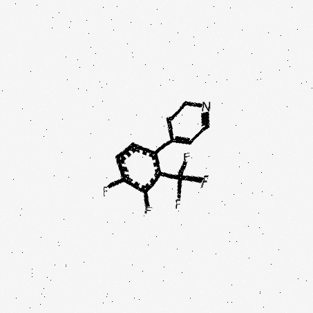 Fc1ccc(C2=CC=NCC2)c(C(F)(F)F)c1F